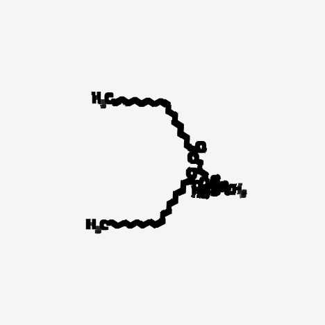 CCCCCCCC/C=C\CCCCCCCC(=O)OC[C@@H](COP(=O)(O)OOC)OC(=O)CCCCCCC/C=C\CCCCCCCC